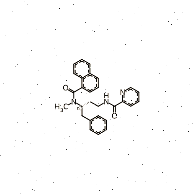 CN(C(=O)c1cccc2ccccc12)[C@H](CCNC(=O)c1ccccn1)Cc1ccccc1